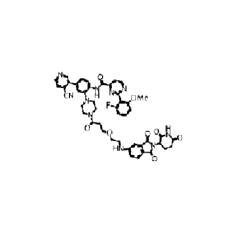 COc1cccc(F)c1-c1nccc(C(=O)Nc2ccc(-c3cnccc3C#N)cc2N2CCN(C(=O)CCOCCNc3ccc4c(c3)C(=O)N(C3CCC(=O)NC3=O)C4=O)CC2)n1